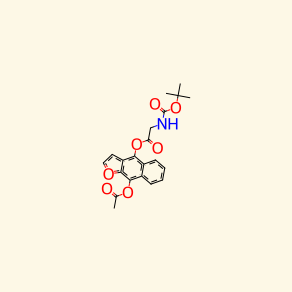 CC(=O)Oc1c2ccccc2c(OC(=O)CNC(=O)OC(C)(C)C)c2ccoc12